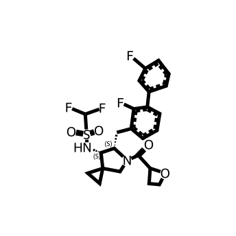 O=C(C1CCO1)N1CC2(CC2)[C@H](NS(=O)(=O)C(F)F)[C@@H]1Cc1cccc(-c2cccc(F)c2)c1F